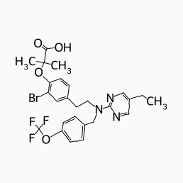 CCc1cnc(N(CCc2ccc(OC(C)(C)C(=O)O)c(Br)c2)Cc2ccc(OC(F)(F)F)cc2)nc1